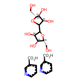 O=C(O)c1cccnc1.O=C(O)c1cccnc1.OC[C@H]1OC(C2O[C@H](CO)[C@@H](O)[C@H]2O)[C@H](O)[C@@H]1O